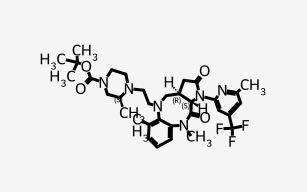 Cc1cc(C(F)(F)F)cc(N2C(=O)C[C@@H]3CN(CCN4CCN(C(=O)OC(C)(C)C)C[C@@H]4C)c4c(C)cccc4N(C)C(=O)[C@H]32)n1